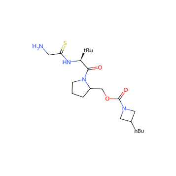 CCCCC1CN(C(=O)OCC2CCCN2C(=O)[C@@H](NC(=S)CN)C(C)(C)C)C1